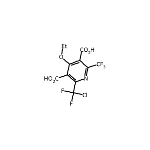 CCOc1c(C(=O)O)c(C(F)(F)F)nc(C(F)(F)Cl)c1C(=O)O